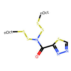 CCCCCCCCSSN(SSCCCCCCCC)C(=O)c1nncs1